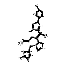 CN1CC(c2cnc(Cl)s2)N=C1C(=C(CC=C[N+](=O)[O-])C1CN=CN1Cc1cnc(Cl)s1)[N+](=O)[O-]